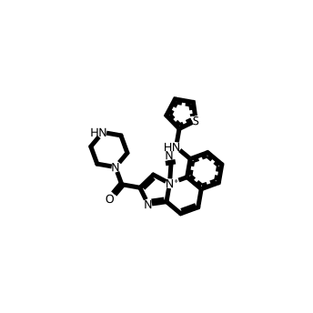 N#C[N+]12C=C(C(=O)N3CCNCC3)N=C1C=Cc1cccc(Nc3cccs3)c12